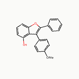 COc1ccc(-c2c(-c3ccccc3)oc3cccc(O)c23)cc1